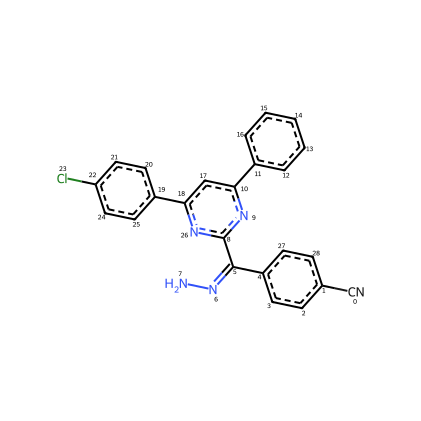 N#Cc1ccc(C(=NN)c2nc(-c3ccccc3)cc(-c3ccc(Cl)cc3)n2)cc1